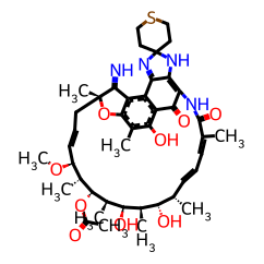 CO[C@H]1/C=C/C[C@@]2(C)Oc3c(C)c(O)c4c(c3C2=N)C2=NC3(CCSCC3)NC2=C(NC(=O)/C(C)=C\C=C\[C@H](C)[C@H](O)[C@@H](C)[C@@H](O)[C@@H](C)[C@H](OC(C)=O)[C@@H]1C)C4=O